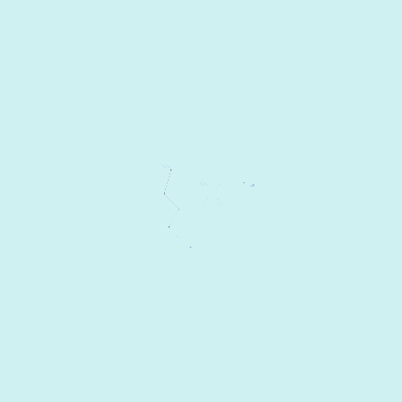 C=CCCCO.O=S(=O)(O)O.[NaH]